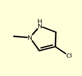 CN1[C]=C(Cl)CN1